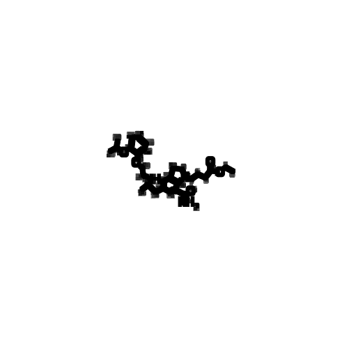 CCOC(=O)CCCN1CCc2cc(CC(C)NCCOc3ccccc3OC(C)C)cc(C(N)=O)c21